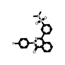 CN(C)S(=O)(=O)c1cccc(-c2nn(-c3ccc(F)cc3)c(=O)c3ccccc23)c1